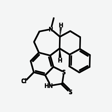 CN1CCc2cc(Cl)c3[nH]c(=S)sc3c2[C@H]2c3ccccc3CC[C@@H]21